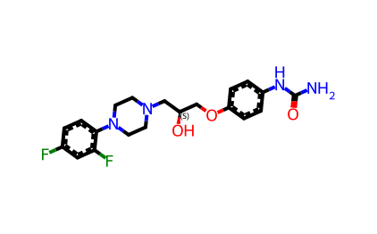 NC(=O)Nc1ccc(OC[C@@H](O)CN2CCN(c3ccc(F)cc3F)CC2)cc1